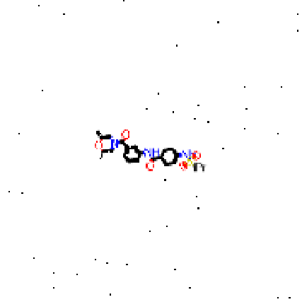 CC1CN(C(=O)c2cccc(NC(=O)C3CCC(NS(=O)(=O)C(C)C)CC3)c2)C[C@@H](C)O1